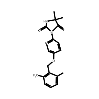 Cc1cccc(C(F)(F)F)c1COc1ccc(N2C(=O)NC(C)(C)C2=O)nc1